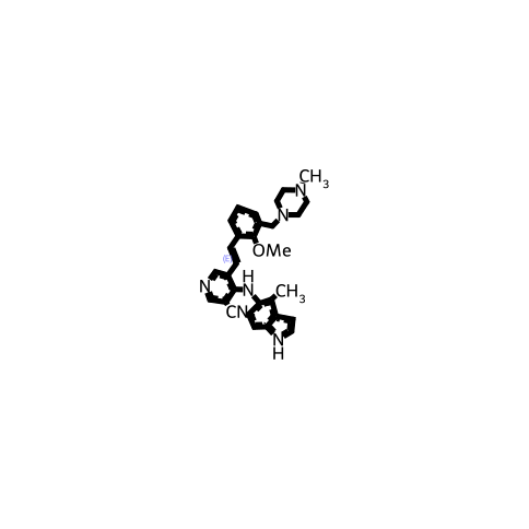 COc1c(/C=C/c2cncc(C#N)c2Nc2ccc3[nH]ccc3c2C)cccc1CN1CCN(C)CC1